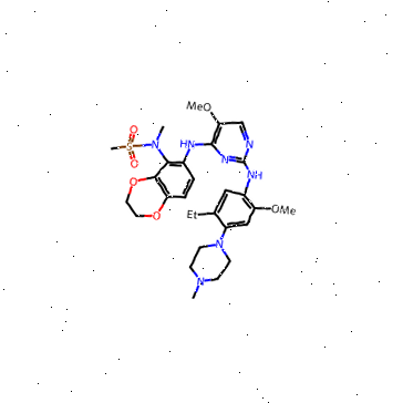 CCc1cc(Nc2ncc(OC)c(Nc3ccc4c(c3N(C)S(C)(=O)=O)OCCO4)n2)c(OC)cc1N1CCN(C)CC1